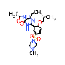 CCCOc1ccc(S(=O)(=O)N2CCN(C)CC2)cc1-c1nc(CC)c(NC(C)=O)c(=O)[nH]1